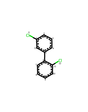 Clc1cccc(-c2ccc[c]c2Cl)c1